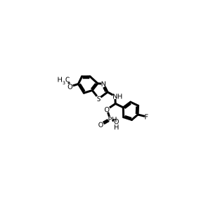 COc1ccc2nc(NC(O[PH](=O)O)c3ccc(F)cc3)sc2c1